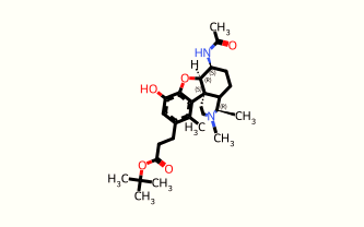 CC(=O)N[C@H]1CCC2[C@@H](C)N(C)CC[C@@]23c2c(C)c(CCC(=O)OC(C)(C)C)cc(O)c2O[C@@H]13